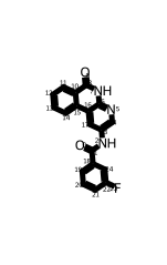 O=C(Nc1cnc2[nH]c(=O)c3ccccc3c2c1)c1cccc(F)c1